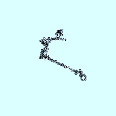 COc1cc2c(cc1OCCCCCOc1cc3c(cc1OC)C(=O)N1C=C(C)C[C@H]1[C@H](O)N3C(=O)OCc1ccc(NC(=O)[C@H](C)NC(=O)[C@@H](NC(=O)CCOCCOCCOCCOCCOCCOCCOCCOCCNC(=O)CCN3C(=O)CC(Cc4ccccccccc4)C3=O)C(C)C)cc1)N=C[C@@H]1CC(C)=CN1C2=O